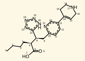 CCCC[C@H](C(=O)O)[C@H](Cc1ccc(C2=CCNCC2)cn1)c1nnn[nH]1